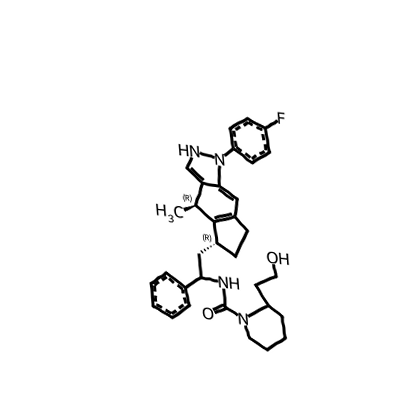 C[C@H]1C2=CNN(c3ccc(F)cc3)C2=CC2=C1[C@@H](CC(NC(=O)N1CCCCC1CCO)c1ccccc1)CC2